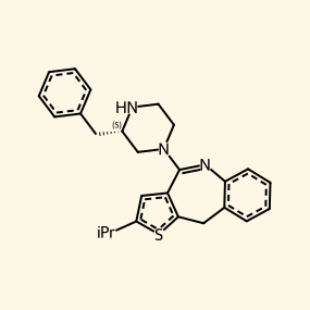 CC(C)c1cc2c(s1)Cc1ccccc1N=C2N1CCN[C@@H](Cc2ccccc2)C1